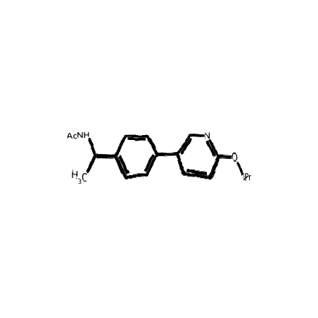 CC(=O)NC(C)c1ccc(-c2ccc(OC(C)C)nc2)cc1